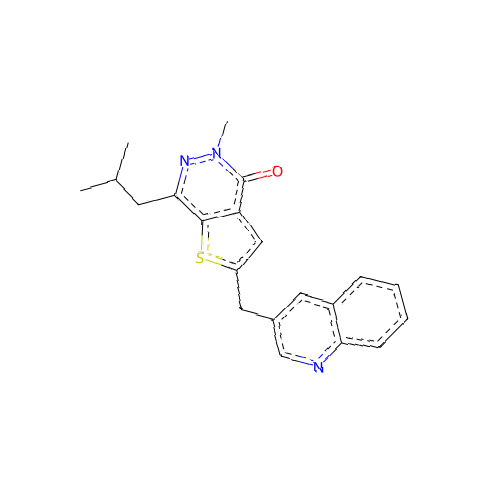 CC(C)Cc1nn(C)c(=O)c2cc(Cc3cnc4ccccc4c3)sc12